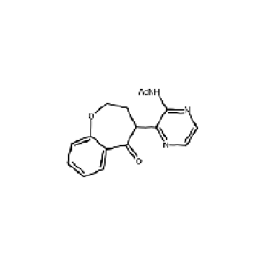 CC(=O)Nc1nccnc1C1CCOc2ccccc2C1=O